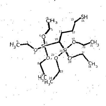 CCO[Si](OCC)(OCC)C(CCCS)[Si](OCC)(OCC)OCC